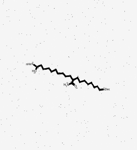 CCCCCCCCCCCCCCCCCCC(CCCCCCCCCC(O)CCCCCC)C(N)=O